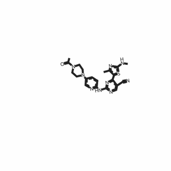 CNc1nc(C)c(-c2nc(Nc3ccc(N4CCN(C(C)=O)CC4)cn3)ncc2C#N)s1